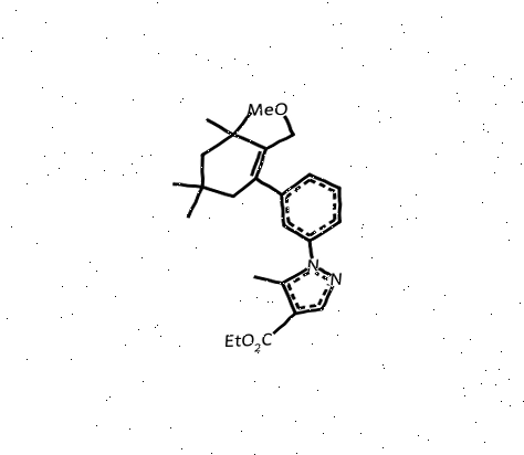 CCOC(=O)c1cnn(-c2cccc(C3=C(COC)C(C)(C)CC(C)(C)C3)c2)c1C